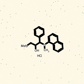 CNCC(O)C(c1ccccc1)N(C)c1cccc2ccccc12.Cl